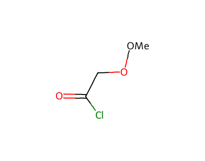 COOCC(=O)Cl